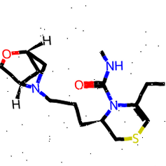 CCC1=CSC[C@@H](CCCN2C[C@@H]3C[C@H]2CO3)N1C(=O)NC